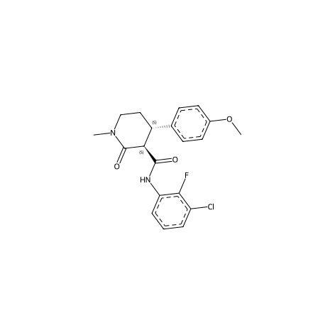 COc1ccc([C@H]2CCN(C)C(=O)[C@@H]2C(=O)Nc2cccc(Cl)c2F)cc1